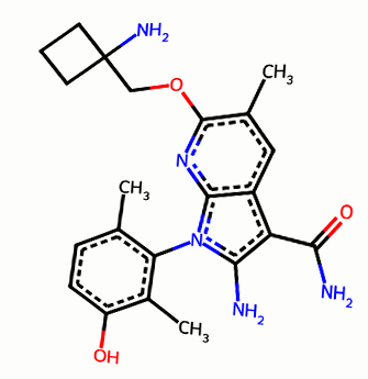 Cc1cc2c(C(N)=O)c(N)n(-c3c(C)ccc(O)c3C)c2nc1OCC1(N)CCC1